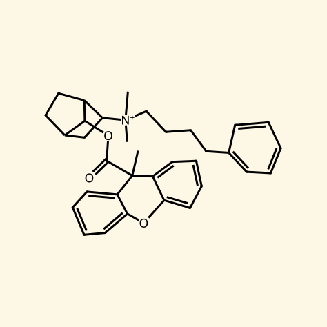 CC1(C(=O)OC2C3CCC2C([N+](C)(C)CCCCc2ccccc2)C3)c2ccccc2Oc2ccccc21